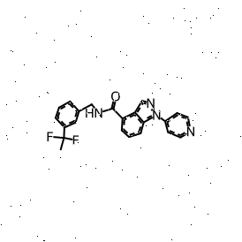 CC(F)(F)c1cccc(CNC(=O)c2cccc3c2cnn3-c2ccncc2)c1